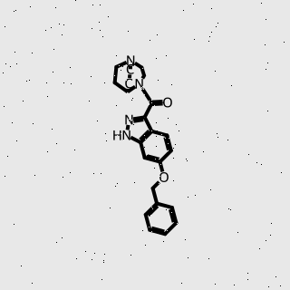 O=C(c1n[nH]c2cc(OCc3ccccc3)ccc12)N1CCN2CCC1CC2